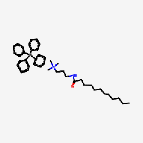 CCCCCCCCCCCC(=O)NCCC[N+](C)(C)C.c1ccc([B-](c2ccccc2)(c2ccccc2)c2ccccc2)cc1